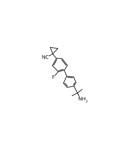 CC(C)(N)c1ccc(-c2ccc(C3(C#N)CC3)cc2F)cc1